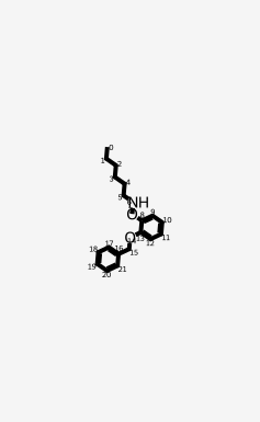 CCCCCCNOc1ccccc1OCc1ccccc1